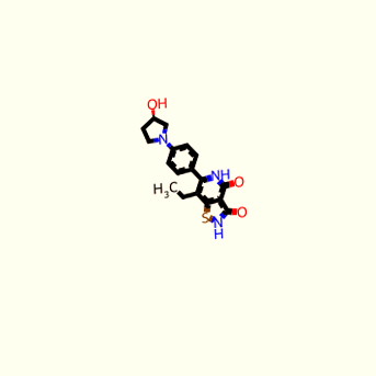 CCc1c(-c2ccc(N3CC[C@@H](O)C3)cc2)[nH]c(=O)c2c(=O)[nH]sc12